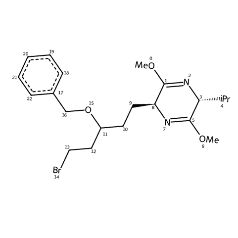 COC1=N[C@H](C(C)C)C(OC)=N[C@H]1CCC(CCBr)OCc1ccccc1